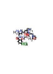 COCCCOc1ccccc1C(=O)NC[C@@H](C)C[C@H](N)[C@@H](O)C[C@@H](C)C(=O)NCCN1CCOCC1.Cl.Cl